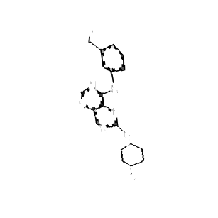 OCc1cccc(Nc2ncnc3cnc(N[C@H]4CC[C@H](O)CC4)nc23)c1